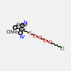 COc1cccc(OC)c1C1=C2C=CC(=[N+](C)C)C=C2[Si](C)(CCCSCCOCCOCCOCCOCCCCCCCl)c2cc(N(C)C)ccc21